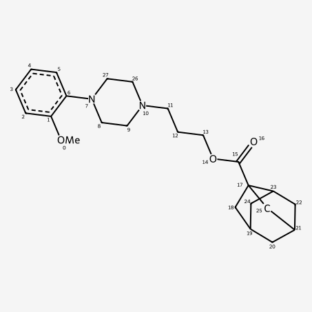 COc1ccccc1N1CCN(CCCOC(=O)C23CC4CC(CC2C4)C3)CC1